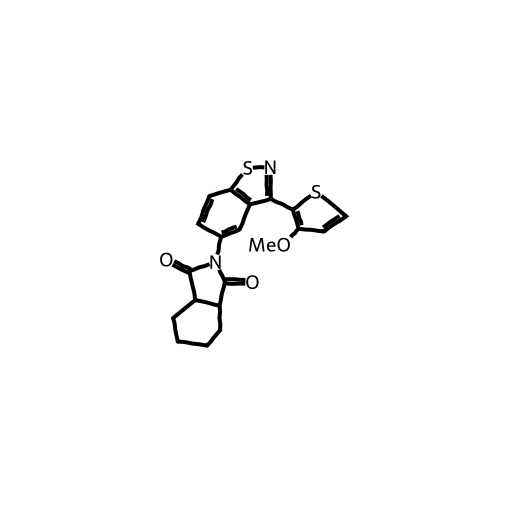 COc1ccsc1-c1nsc2ccc(N3C(=O)C4CCCCC4C3=O)cc12